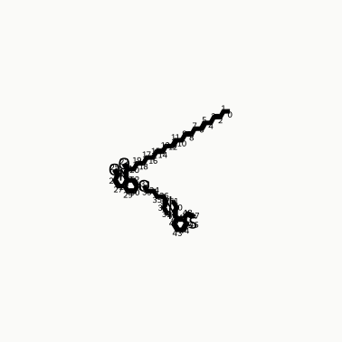 CCC=CCC=CCC=CCC=CCC=CCCCCCC(=O)n1c(=O)ccc2ccc(OCCCCN3CCN(c4cccc5sccc45)CC3)cc21